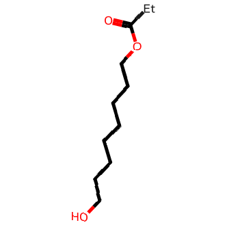 CCC(=O)OCCCCCCCCO